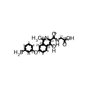 Bc1cccc(Oc2ccc3c(O)c(C(=O)NCC(=O)O)nc(C)c3c2)c1